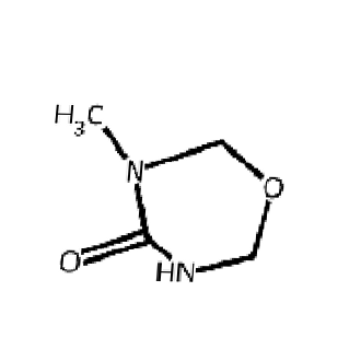 CN1COCNC1=O